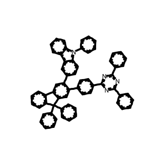 c1ccc(-c2nc(-c3ccccc3)nc(-c3ccc(-c4cc5c(cc4-c4ccc6c(c4)c4ccccc4n6-c4ccccc4)-c4ccccc4C5(c4ccccc4)c4ccccc4)cc3)n2)cc1